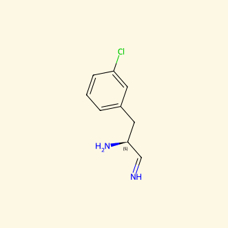 N=C[C@@H](N)Cc1cccc(Cl)c1